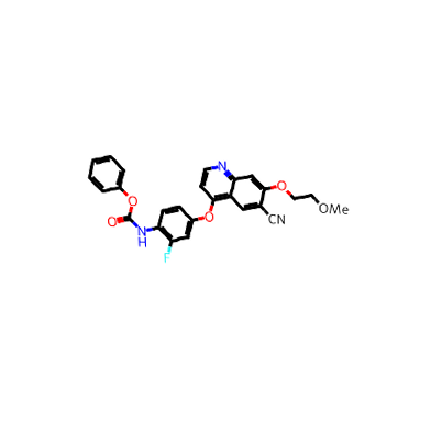 COCCOc1cc2nccc(Oc3ccc(NC(=O)Oc4ccccc4)c(F)c3)c2cc1C#N